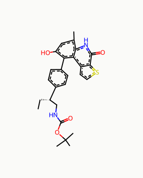 CC[C@@H](CNC(=O)OC(C)(C)C)c1ccc(-c2c(O)cc(C)c3[nH]c(=O)c4sccc4c23)cc1